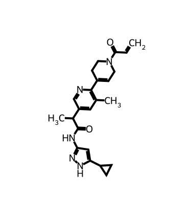 C=CC(=O)N1CC=C(c2ncc(C(C)C(=O)Nc3cc(C4CC4)[nH]n3)cc2C)CC1